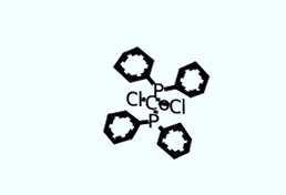 [Cl][Co]([Cl])([P](c1ccccc1)c1ccccc1)[P](c1ccccc1)c1ccccc1